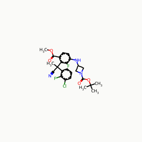 COC(=O)c1ccc(NC2CN(C(=O)OC(C)(C)C)C2)c(F)c1C(C)(C#N)c1cccc(Cl)c1F